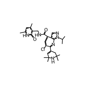 Cc1cc(C)c(CNC(=O)C2=C=C(Cl)C(C3=CC(C)(C)NC(C)(C)C3)=Nc3c2cnn3C(C)C)c(=O)[nH]1